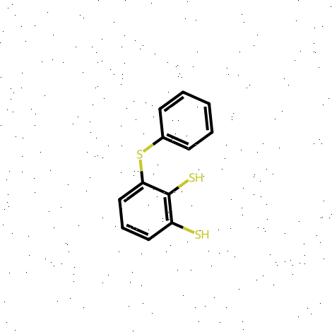 Sc1cccc(Sc2ccccc2)c1S